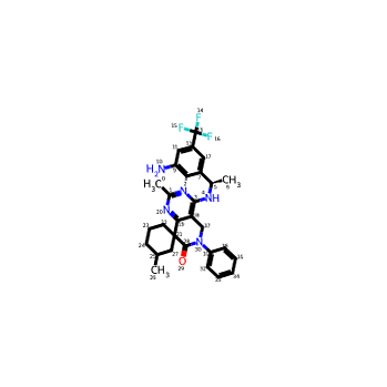 Cc1nc(N[C@H](C)c2cc(N)cc(C(F)(F)F)c2)c2c(n1)C1(CCCC(C)C1)C(=O)N(c1ccccc1)C2